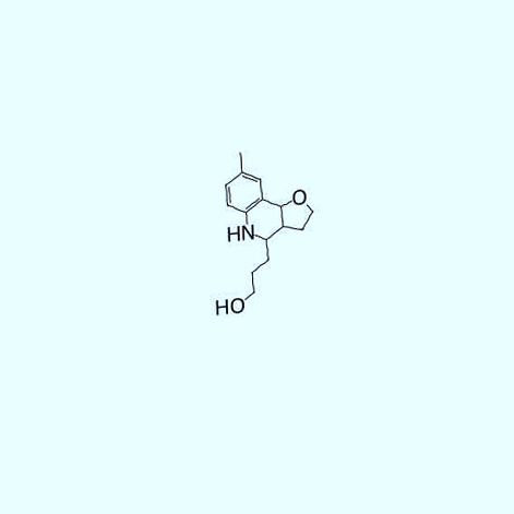 Cc1ccc2c(c1)C1OCCC1C(CCCO)N2